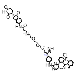 N=N/C(=C\NCCOCCOCCNCCC(=O)Nc1ccc2c(c1)CN(C1CCC(=O)NC1=O)C2=O)c1ccc(Nc2ncc3c(n2)-c2ccc(Cl)cc2C(c2c(F)cccc2F)=NC3)cc1